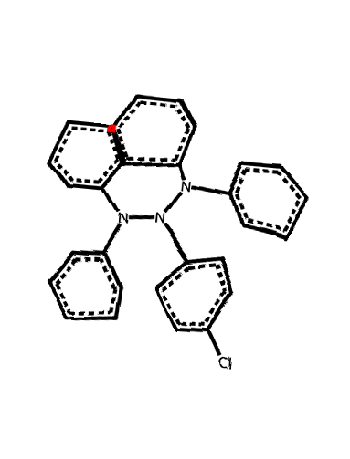 Clc1ccc(N(N(c2ccccc2)c2ccccc2)N(c2ccccc2)c2ccccc2)cc1